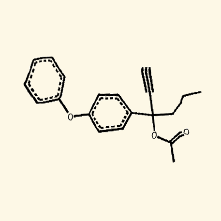 C#CC(CCC)(OC(C)=O)c1ccc(Oc2ccccc2)cc1